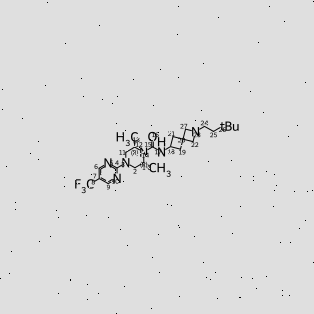 C[C@@H]1CN(c2ncc(C(F)(F)F)cn2)C[C@@H](C)N1C(=O)NC1CC2(C1)CN(CCC(C)(C)C)C2